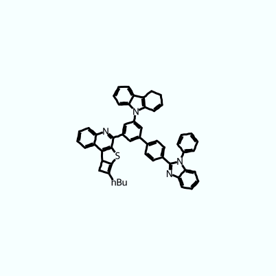 CCCCC1=C2Sc3c(-c4cc(-c5ccc(-c6nc7ccccc7n6-c6ccccc6)cc5)cc(-n5c6c(c7ccccc75)CCC=C6)c4)nc4ccccc4c3C2C1